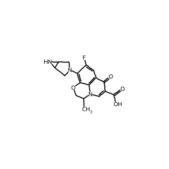 CC1COc2c(N3CC4NC4C3)c(F)cc3c(=O)c(C(=O)O)cn1c23